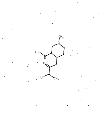 CNC1CN(C)CCC1CC(=O)C(C)C